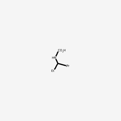 CCC(NC(=O)O)C(C)C